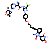 Cn1c(=O)n(C2CCC(=O)NC2=O)c2cccc(C#CCCCOCc3ccc(-n4cc(NC(=O)c5cnn6ccc(N7C[C@H]8C[C@@H]7CO8)nc56)c(C(F)F)n4)cc3)c21